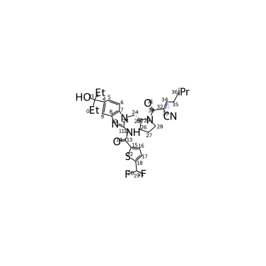 CCC(O)(CC)c1ccc2c(c1)nc(NC(=O)c1ccc(C(F)F)s1)n2C[C@H]1CCCN1C(=O)/C(C#N)=C/CC(C)C